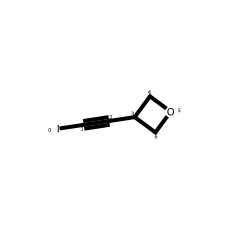 IC#CC1COC1